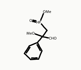 CO[PH](=O)CC(C=O)(OC)c1ccccc1